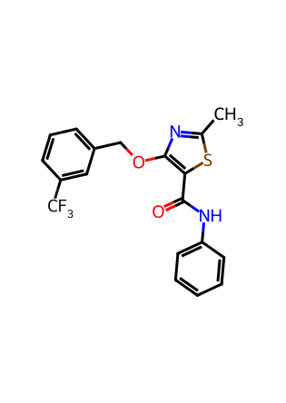 Cc1nc(OCc2cccc(C(F)(F)F)c2)c(C(=O)Nc2ccccc2)s1